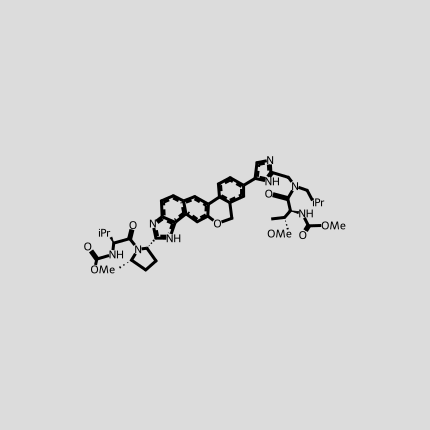 COC(=O)N[C@H](C(=O)N1[C@@H](C)CC[C@H]1c1nc2ccc3cc4c(cc3c2[nH]1)OCc1cc(-c2cnc(CN(CC(C)C)C(=O)[C@@H](NC(=O)OC)[C@@H](C)OC)[nH]2)ccc1-4)C(C)C